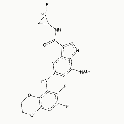 CNc1cc(Nc2c(F)c(F)cc3c2OCCO3)nc2c(C(=O)NC3C[C@@H]3F)cnn12